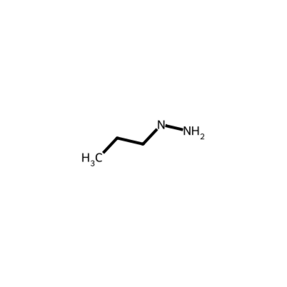 CCC[N]N